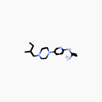 C=C(N)Nc1ccc(N2CCN(CC(C)CC)CC2)cn1